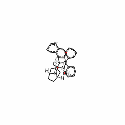 CN(Cc1ccc2ncccc2c1)C(=O)N1[C@@H]2CC[C@H]1CN(C(=O)N(c1ccccc1)c1ccccc1)C2